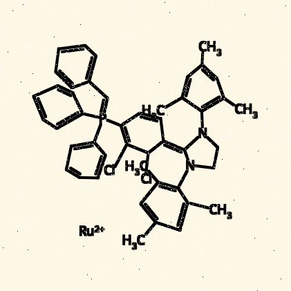 Cc1cc(C)c(N2CCN(c3c(C)cc(C)cc3C)C2=C2C=CC(P(=Cc3ccccc3)(c3ccccc3)c3ccccc3)=C(Cl)C2Cl)c(C)c1.[Ru+2]